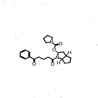 O=C(CCCC(=O)N1[C@@H](OC(=O)N2CCCC2)C[C@@H]2CCC[C@@H]21)c1ccccc1